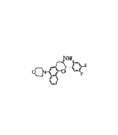 N[C@@H]1Cc2cc(N3CCOCC3)c3ccccc3c2O[C@H]1c1cc(F)c(F)cc1F